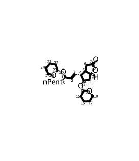 CCCCC[C@H](/C=C/[C@@H]1C2CC(=O)O[C@H]2C[C@H]1O[C@@H]1CCCCO1)O[C@H]1CCCCO1